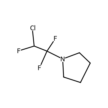 FC(Cl)C(F)(F)N1CCCC1